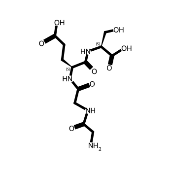 NCC(=O)NCC(=O)N[C@@H](CCC(=O)O)C(=O)N[C@@H](CO)C(=O)O